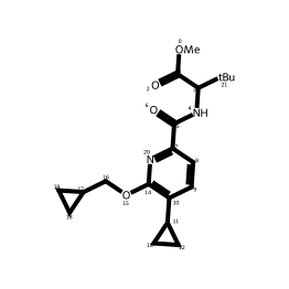 COC(=O)C(NC(=O)c1ccc(C2CC2)c(OCC2CC2)n1)C(C)(C)C